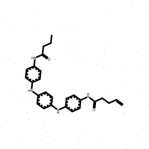 C=CCCC(=O)Nc1ccc(Nc2ccc(Nc3ccc(NC(=O)CCC)cc3)cc2)cc1